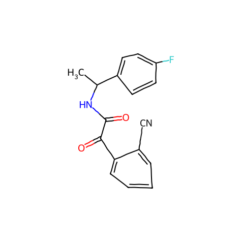 CC(NC(=O)C(=O)c1ccccc1C#N)c1ccc(F)cc1